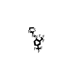 FC(F)(F)c1ccc(N=NC2=NCCS2)c(C(F)(F)F)c1